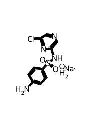 Nc1ccc(S(=O)(=O)Nc2cncc(Cl)n2)cc1.O.[Na]